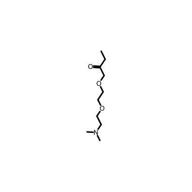 CCC(=O)COCCOCCN(C)C